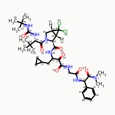 CN(C)C(=O)C(NC(=O)CNC(=O)C(=O)C(CC1CC1)NC(=O)[C@@H]1[C@@H]2[C@H](CN1C(=O)[C@@H](NC(=O)NC(C)(C)C)C(C)(C)C)C2(Cl)Cl)c1ccccc1